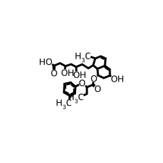 CCC(Oc1cccc(C)c1)C(=O)OC1CC(O)C=C2C=CC(C)C(CCC(O)CC(O)CC(=O)O)C21